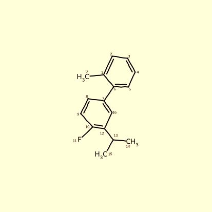 Cc1ccccc1-c1ccc(F)c(C(C)C)c1